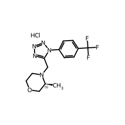 C[C@H]1COCCN1Cc1nnnn1-c1ccc(C(F)(F)F)cc1.Cl